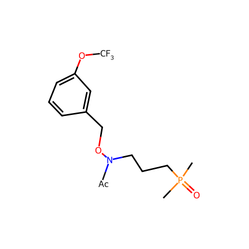 CC(=O)N(CCCP(C)(C)=O)OCc1cccc(OC(F)(F)F)c1